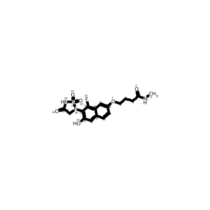 CNC(=O)CCCOc1ccc2cc(O)c(N3CC(=O)NS3(=O)=O)c(F)c2c1